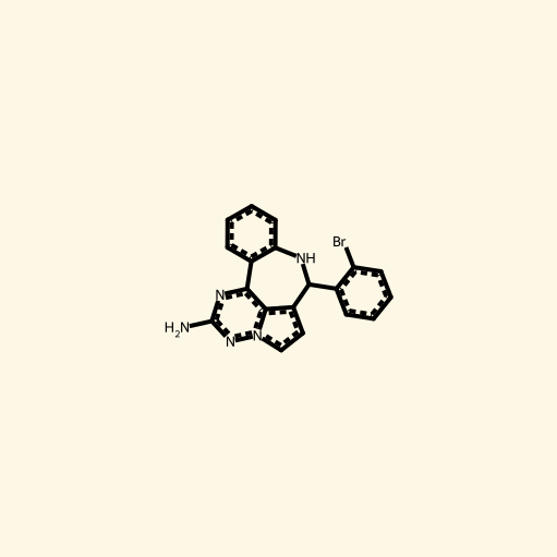 Nc1nc2c3c(ccn3n1)C(c1ccccc1Br)Nc1ccccc1-2